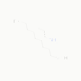 C=CCN.O=S(=O)(O)CCCCCCCCC(F)(F)F